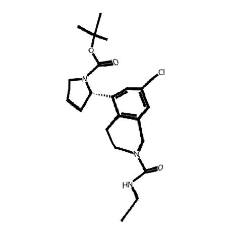 CCNC(=O)N1CCc2c(cc(Cl)cc2[C@@H]2CCCN2C(=O)OC(C)(C)C)C1